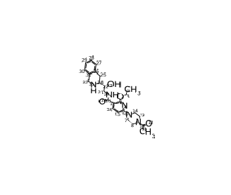 CCOc1nc(N2CCN(C(C)=O)CC2)ccc1C(=O)NCC(O)[C@@H]1Cc2ccccc2CN1